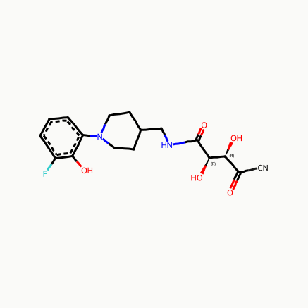 N#CC(=O)[C@H](O)[C@@H](O)C(=O)NCC1CCN(c2cccc(F)c2O)CC1